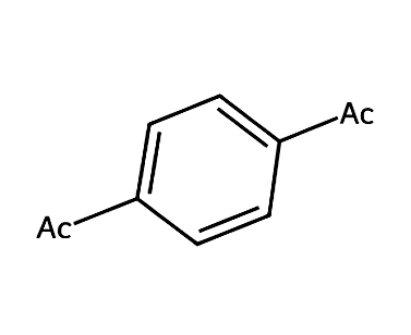 CC(=O)c1ccc(C(C)=O)cc1